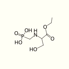 CCOC(=O)C(CO)NCP(=O)(O)O